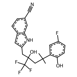 CC(C)(CC(O)(Cc1cc2ccc(C#N)cc2[nH]1)C(F)(F)F)c1cc(F)ccc1O